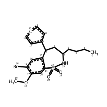 CCCCC1CC(c2ccccc2)c2cc(Br)c(OC)cc2S(=O)(=O)N1